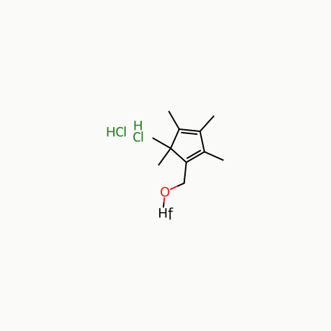 CC1=C(C)C(C)(C)C(C[O][Hf])=C1C.Cl.Cl